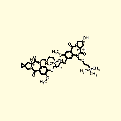 COc1cc2c(cc1OCCCOc1cc3c(cc1OC)C(=O)N1CC4(CC4)C[C@H]1C(=O)N3COCC[Si](C)(C)C)N(COCC[Si](C)(C)C)C(=O)[C@@H]1C[C@@H](O)CN1C2=O